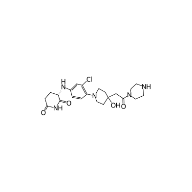 O=C1CC[C@H](Nc2ccc(N3CCC(O)(CC(=O)N4CCNCC4)CC3)c(Cl)c2)C(=O)N1